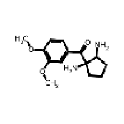 COc1ccc(C(=O)C2(N)CCCC2N)cc1OC